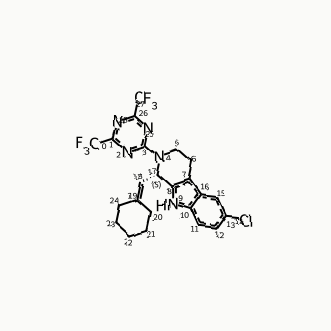 FC(F)(F)c1nc(N2CCc3c([nH]c4ccc(Cl)cc34)[C@@H]2C=C2CCCCC2)nc(C(F)(F)F)n1